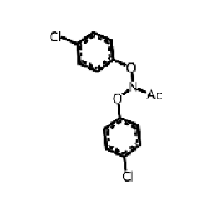 CC(=O)N(Oc1ccc(Cl)cc1)Oc1ccc(Cl)cc1